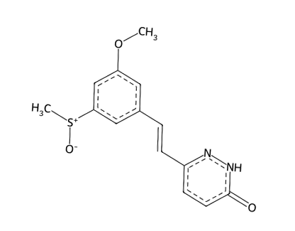 COc1cc(/C=C/c2ccc(=O)[nH]n2)cc([S+](C)[O-])c1